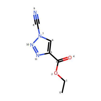 CCOC(=O)c1cn(C#N)nn1